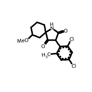 COC1CCCC2(C1)NC(=O)C(c1c(C)cc(Cl)cc1Cl)C2=O